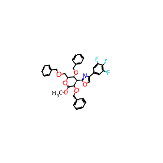 CO[C@H]1OC(COCc2ccccc2)[C@H](OCc2ccccc2)C(c2nc(-c3cc(F)c(F)c(F)c3)co2)C1OCc1ccccc1